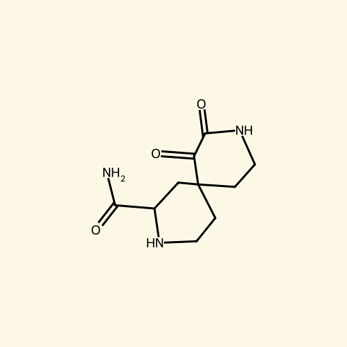 NC(=O)C1CC2(CCNC(=O)C2=O)CCN1